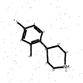 Cc1cc(I)ccc1C1CCNCC1